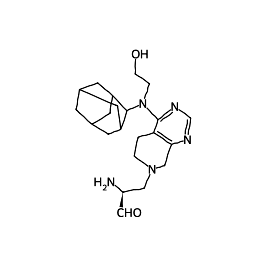 N[C@H](C=O)CN1CCc2c(ncnc2N(CCO)C2C3CC4CC(C3)CC2C4)C1